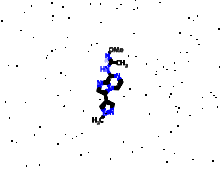 CO/N=C(\C)Nc1nccn2c(-c3cnn(C)c3)cnc12